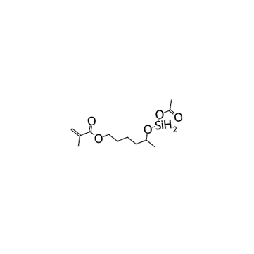 C=C(C)C(=O)OCCCCC(C)O[SiH2]OC(C)=O